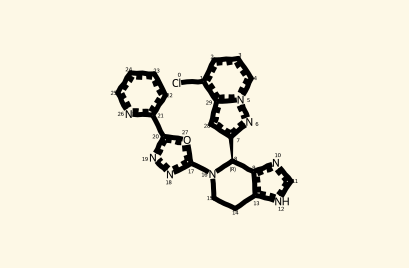 Clc1cccn2nc([C@H]3c4nc[nH]c4CCN3c3nnc(-c4ccccn4)o3)cc12